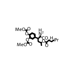 COC(=O)Oc1ccc(C(CC(C)OC(=O)CCC(C)C)[C@H](N)C(=O)O)cc1OC(=O)OC